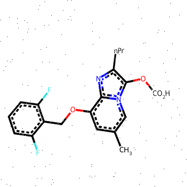 CCCc1nc2c(OCc3c(F)cccc3F)cc(C)cn2c1OC(=O)O